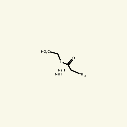 NCC(=O)OCC(=O)O.[NaH].[NaH]